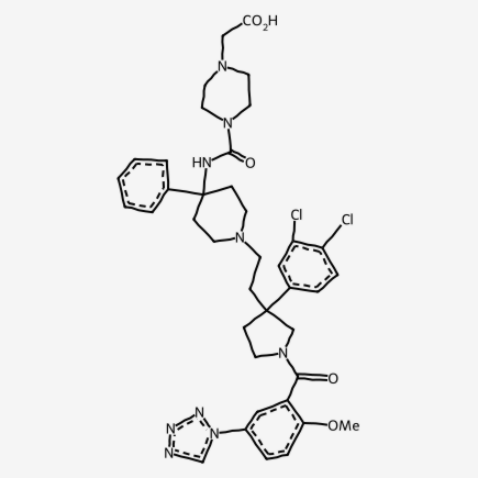 COc1ccc(-n2cnnn2)cc1C(=O)N1CCC(CCN2CCC(NC(=O)N3CCN(CC(=O)O)CC3)(c3ccccc3)CC2)(c2ccc(Cl)c(Cl)c2)C1